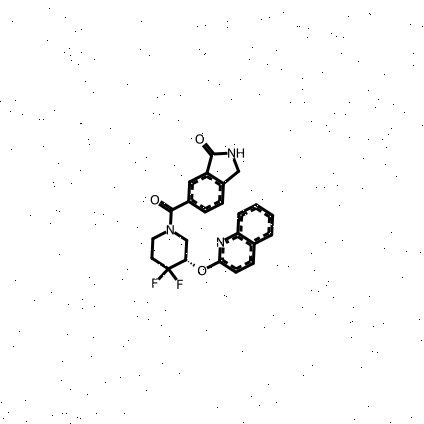 O=C1NCc2ccc(C(=O)N3CCC(F)(F)[C@@H](Oc4ccc5ccccc5n4)C3)cc21